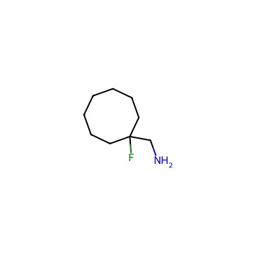 NCC1(F)CCCCCCC1